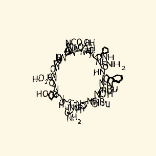 CCCC[C@H]1C(=O)N(C)[C@@H](CCCC)C(=O)N[C@@H](CC(C)C)C(=O)N[C@H](C(=O)NCC(N)=O)CSCC(=O)N[C@@H](Cc2ccc(O)cc2)C(=O)N(C)[C@@H](C)C(=O)N[C@@H](CC(=O)O)C(=O)N2CCC[C@H]2C(=O)N[C@@H](Cc2cnc[nH]2)C(=O)N[C@@H](CCC(=O)O)C(=O)N2C[C@H](O)C[C@H]2C(=O)N[C@@H](Cc2c[nH]c3ccccc23)C(=O)N[C@@H](CCN)C(=O)N[C@@H](Cc2c[nH]c3ccccc23)C(=O)N1C